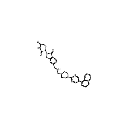 O=C1CCC(N2Cc3cc(CNCC4CCN(c5ncc(-c6cccc7ccccc67)cn5)CC4)ccc3C2=O)C(=O)N1